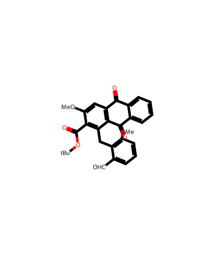 COc1cccc(C=O)c1Cc1c(C(=O)OC(C)(C)C)c(OC)cc2c1C(=O)c1ccccc1C2=O